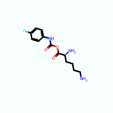 NCCCC[C@H](N)C(=O)OC(=O)Nc1ccc(F)cc1